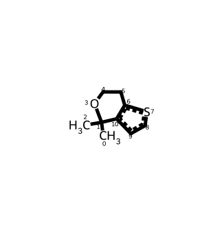 CC1(C)OCCc2sccc21